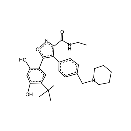 CCNC(=O)c1noc(-c2cc(C(C)(C)C)c(O)cc2O)c1-c1ccc(CN2CCCCC2)cc1